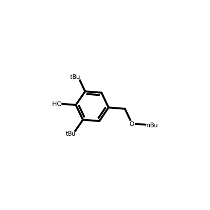 CCCCOCc1cc(C(C)(C)C)c(O)c(C(C)(C)C)c1